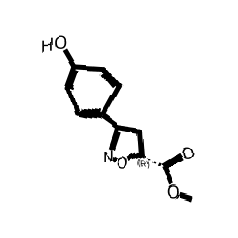 COC(=O)[C@H]1CC(c2ccc(O)cc2)=NO1